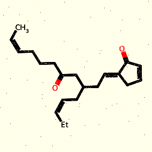 C/C=C\CCCC(=O)CC(C/C=C\CC)C/C=C1\CC=CC1=O